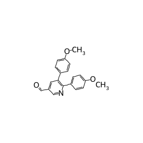 COc1ccc(-c2cc(C=O)cnc2-c2ccc(OC)cc2)cc1